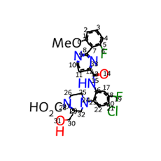 COc1cccc(F)c1-c1nccc(C(=O)Nc2cc(F)c(Cl)cc2N2CCN(C(=O)O)[C@H](CO)C2)n1